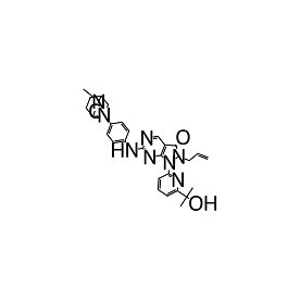 C=CCn1c(=O)c2cnc(Nc3ccc(N4CC5CCC4CN5C)cc3)nc2n1-c1cccc(C(C)(C)O)n1